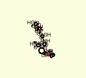 CCN[C@H]1CO[C@@H](O[C@H]2[C@H](O[C@H]3C#C/C=C\C#C[C@]4(O)CC(=O)C(NC(=O)OC)=C3/C4=C\CSSC34CC5CC(CC(C5)C3)C4)O[C@H](C)[C@@H](NO[C@H]3C[C@H](O)[C@H](SC(=O)c4c(C)c(I)c(O[C@@H]5O[C@@H](C)[C@H](O)[C@@H](OC)[C@H]5O)c(OC)c4OC)[C@@H](C)O3)[C@@H]2O)C[C@@H]1OC